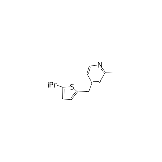 Cc1cc(Cc2ccc(C(C)C)s2)ccn1